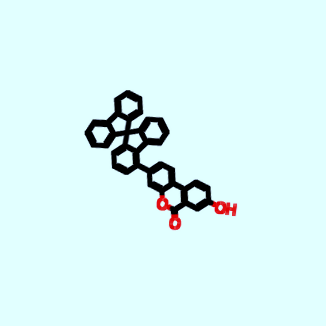 O=c1oc2cc(-c3cccc4c3-c3ccccc3C43c4ccccc4-c4ccccc43)ccc2c2ccc(O)cc12